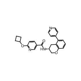 O=C(N[C@@H]1COc2cccc(-c3ccncc3)c2C1)c1ccc(OC2CCC2)nc1